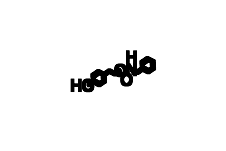 O=C(NCc1ccccc1)OCCc1ccc(O)cc1